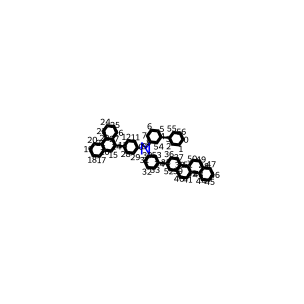 c1ccc(-c2cccc(N(c3ccc(-c4cc5ccccc5c5ccccc45)cc3)c3cccc(-c4ccc5c(ccc6c7ccccc7ccc56)c4)c3)c2)cc1